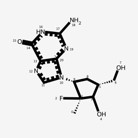 C[C@@]1(F)C(O)[C@@H](CO)C[C@H]1n1cnc2c(=O)[nH]c(N)nc21